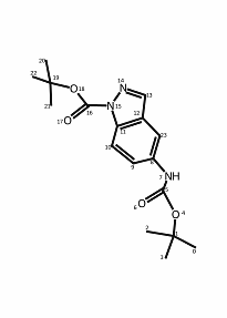 CC(C)(C)OC(=O)Nc1ccc2c(cnn2C(=O)OC(C)(C)C)c1